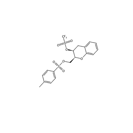 Cc1ccc(S(=O)(=O)OC[C@@H]2Oc3ccccc3C[C@@H]2OS(=O)(=O)C(F)(F)F)cc1